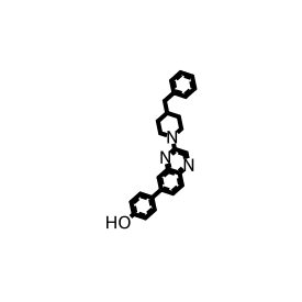 Oc1ccc(-c2ccc3ncc(N4CCC(Cc5ccccc5)CC4)nc3c2)cc1